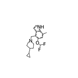 Cc1cc(OC(F)F)c(CN2CCC(C3CC3)CC2)c2cc[nH]c12